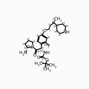 C[C@H](CCOc1ccc([C@H](NC(=O)OC(C)(C)C)C(=O)N2CCC[C@H]2N)c(F)c1)C1CCNCC1